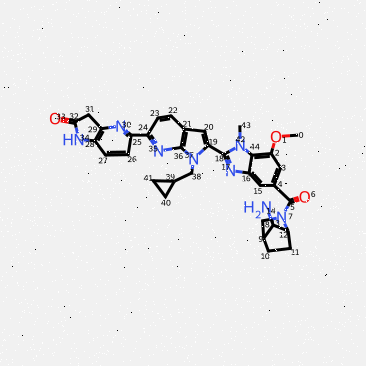 COc1cc(C(=O)N2CC3CCC2C3N)cc2nc(-c3cc4ccc(-c5ccc6c(n5)CC(=O)N6)nc4n3CC3CC3)n(C)c12